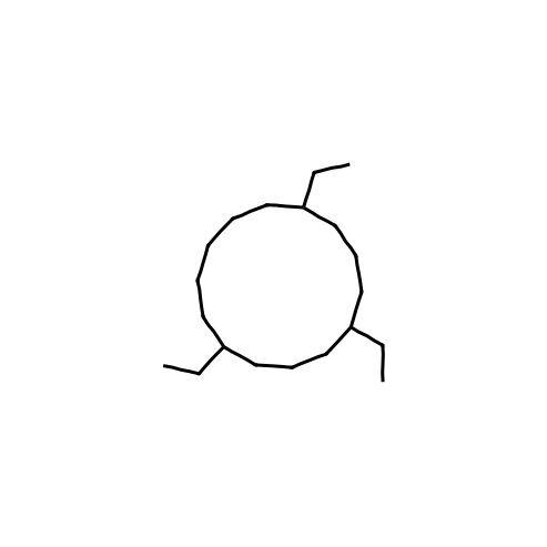 CCC1CCCCCC(CC)CCCC(CC)CCC1